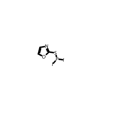 IP(I)Sc1ncco1